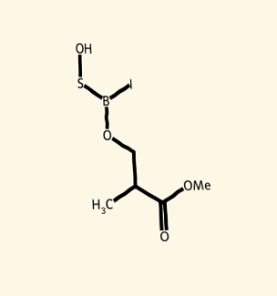 COC(=O)C(C)COB(I)SO